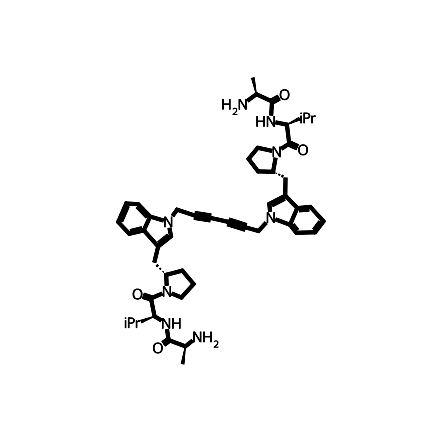 CC(C)[C@H](NC(=O)[C@H](C)N)C(=O)N1CCC[C@H]1Cc1cn(CC#CC#CCn2cc(C[C@@H]3CCCN3C(=O)[C@@H](NC(=O)[C@H](C)N)C(C)C)c3ccccc32)c2ccccc12